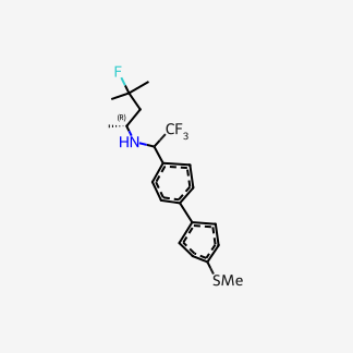 CSc1ccc(-c2ccc(C(N[C@H](C)CC(C)(C)F)C(F)(F)F)cc2)cc1